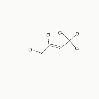 ClCC(Cl)=CC(Cl)(Cl)Cl